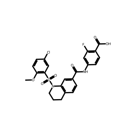 COc1ccc(Cl)cc1S(=O)(=O)N1CCCc2ccc(C(=O)Nc3ccc(C(=O)O)c(F)c3)cc21